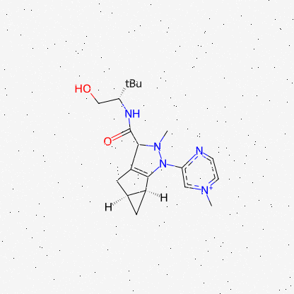 CN1C(C(=O)N[C@H](CO)C(C)(C)C)C2=C([C@H]3C[C@H]3C2)N1c1c[n+](C)ccn1